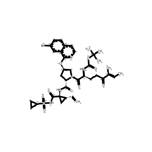 C=C[C@@H]1C[C@]1(NC(=O)[C@@H]1C[C@@H](Oc2nccc3ccc(Br)cc23)CN1C(=O)[C@H](CCC(=O)/C(C)=C/C)NC(=O)OC(C)(C)C)C(=O)NS(=O)(=O)C1CC1